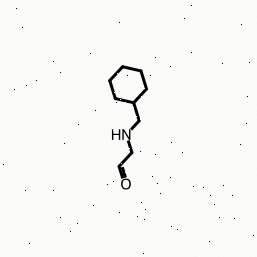 O=CCNCC1CCCCC1